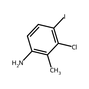 Cc1c(N)ccc(I)c1Cl